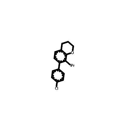 CC(C)c1c(-c2ccc(Cl)cc2)ccc2c1OCCC2